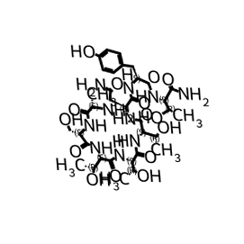 C[C@H](N)C(=O)N[C@@H](CO)C(=O)N[C@H](C(=O)N[C@H](C(=O)N[C@H](C(=O)N[C@@H](CC(N)=O)C(=O)N[C@@H](Cc1ccc(O)cc1)C(=O)N[C@H](C(N)=O)[C@@H](C)O)[C@@H](C)O)[C@@H](C)O)[C@@H](C)O